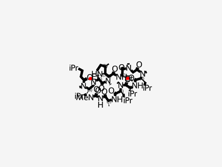 CC[C@H](NC(=O)[C@H]([C@H]1NCC[C@H]1C)N(C)C(=O)[C@H](CC)N(C)C(=O)[C@H](CC(C)C)N(C)C(=O)CCC(C)C)C(=O)N(C)CC(=O)N(C)[C@@H](CC(C)C)C(=O)N[C@H](C(=O)N(C)[C@@H](CC(C)C)C(=O)N[C@H](C)C(=O)NC(=O)NC)C(C)C